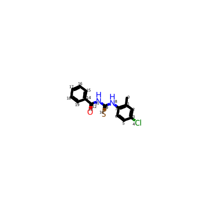 Cc1cc(Cl)ccc1NC(=S)NC(=O)c1ccccc1